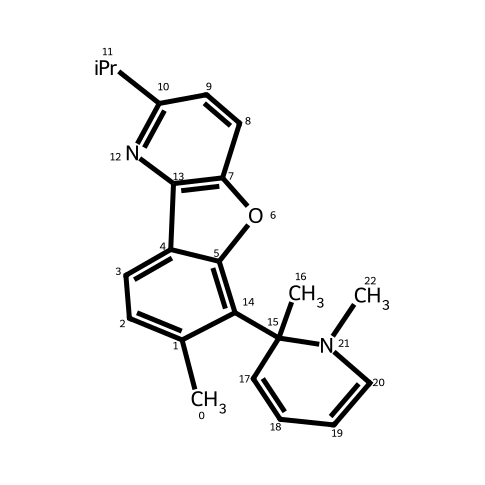 Cc1ccc2c(oc3ccc(C(C)C)nc32)c1C1(C)C=CC=CN1C